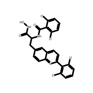 O=C(NC(Cc1ccc2nc(-c3c(Cl)cccc3Cl)ccc2c1)C(=O)NO)c1c(Cl)cccc1Cl